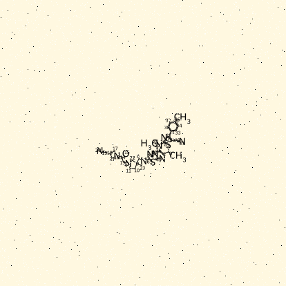 CCc1nc2sc(N3CC4(CCN(CC(=O)N5CC(C#N)C5)C4)C3)nn2c1N(C)c1nc(-c2ccc(C)cc2)c(C#N)s1